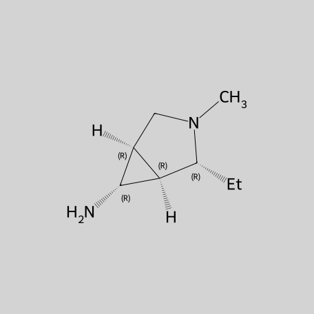 CC[C@@H]1[C@H]2[C@H](N)[C@H]2CN1C